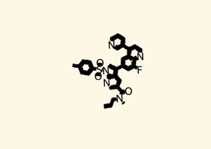 C=CCN(C)C(=O)c1cnc2c(c1)c(-c1cc(F)c3nccc(-c4cccnc4)c3c1)cn2S(=O)(=O)c1ccc(C)cc1